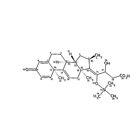 C[C@@H]1C[C@H]2[C@@H]3CCC4=CC(=O)C=C[C@]4(C)C3=CC[C@]2(C)C1=C(O[Si](C)(C)C)C(O)CC(=O)O